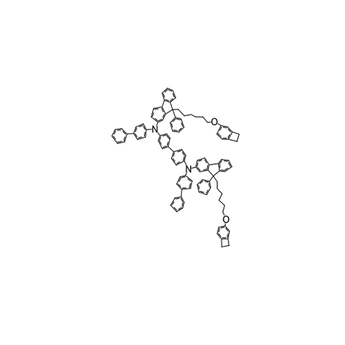 c1ccc(-c2ccc(N(c3ccc(-c4ccc(N(c5ccc(-c6ccccc6)cc5)c5ccc6c(c5)C(CCCCCCOc5ccc7c(c5)CC7)(c5ccccc5)c5ccccc5-6)cc4)cc3)c3ccc4c(c3)C(CCCCCCOc3ccc5c(c3)CC5)(c3ccccc3)c3ccccc3-4)cc2)cc1